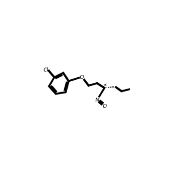 CCC[C@@H](CCOc1cccc(Cl)c1)N=O